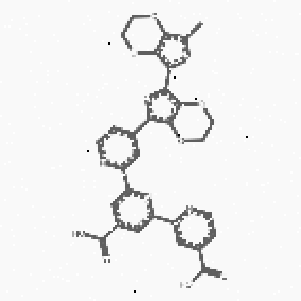 Cc1sc(-c2sc(-c3ccnc(-c4cc(C(=O)O)cc(-c5cc(C(=O)O)ccn5)n4)c3)c3c2OCCO3)c2c1OCCO2